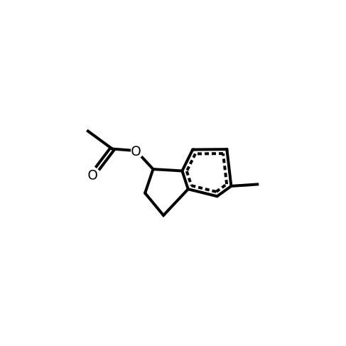 CC(=O)OC1CCc2cc(C)ccc21